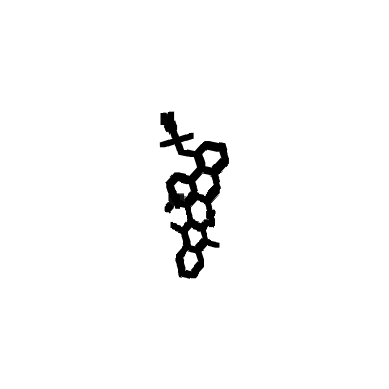 Cc1c2c(c(C)c3ccccc13)-c1c3c(cc4cccc(CC(C)(C)C#N)c4c3cc[n+]1C)S2